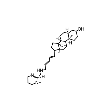 C[C@]12CC[C@H](O)C[C@H]1CC[C@@H]1[C@@H]2CC[C@]2(C)[C@@H](/C=C/C=C/CNNC3=NCCCN3)CC[C@]12O